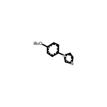 CC(C)COc1ccc(-n2ccnc2)cc1